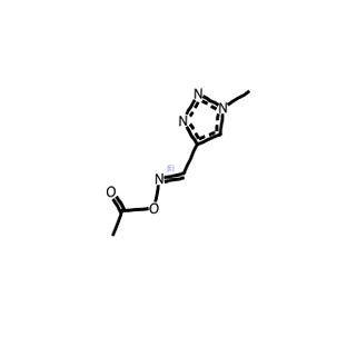 CC(=O)O/N=C/c1cn(C)nn1